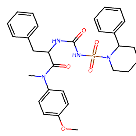 COc1ccc(N(C)C(=O)C(Cc2ccccc2)NC(=O)NS(=O)(=O)N2CCCCC2c2ccccc2)cc1